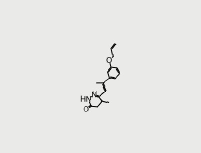 C=CCOc1cccc(C(C)=CC2=NNC(=O)CC2C)c1